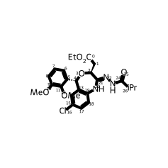 CCOC(=O)C[C@@H]1O[C@@H](c2cccc(OC)c2OC)c2cc(Cl)ccc2NC1=NNC(=O)C(C)C